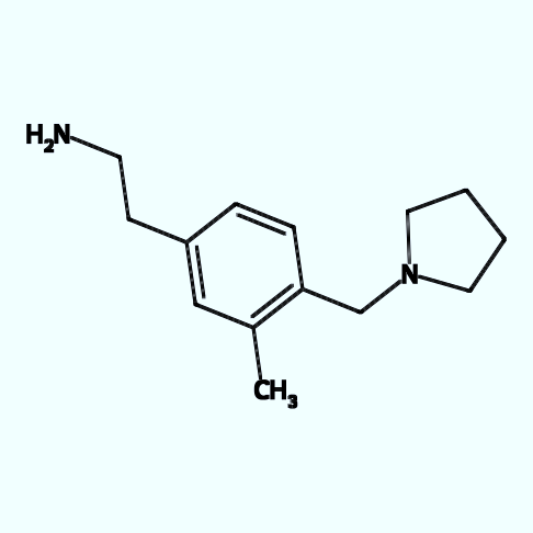 Cc1cc(CCN)ccc1CN1CCCC1